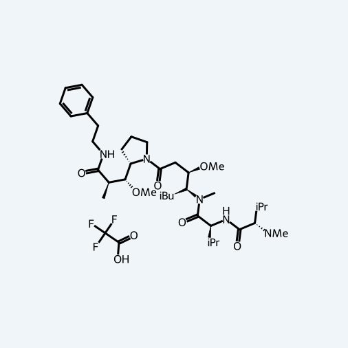 CC[C@H](C)[C@@H]([C@@H](CC(=O)N1CCC[C@H]1[C@H](OC)[C@@H](C)C(=O)NCCc1ccccc1)OC)N(C)C(=O)[C@@H](NC(=O)[C@@H](NC)C(C)C)C(C)C.O=C(O)C(F)(F)F